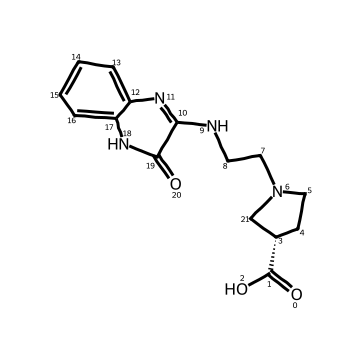 O=C(O)[C@H]1CCN(CCNc2nc3ccccc3[nH]c2=O)C1